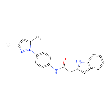 O=C(Cc1cc2ccccc2[nH]1)Nc1ccc(-n2nc(C(F)(F)F)cc2C(F)(F)F)cc1